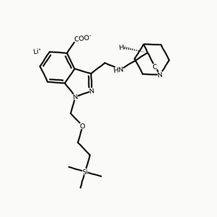 C[Si](C)(C)CCOCn1nc(CN[C@@H]2CN3CCC2CC3)c2c(C(=O)[O-])cccc21.[Li+]